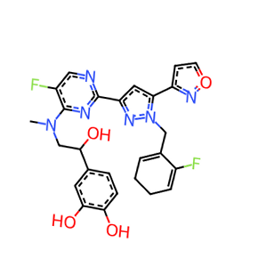 CN(CC(O)c1ccc(O)c(O)c1)c1nc(-c2cc(-c3ccon3)n(CC3=CCCC=C3F)n2)ncc1F